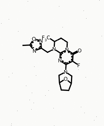 Cc1nc(CN2c3nc(N4CC5CCC(C4)O5)c(F)c(=O)n3CCC2C(F)(F)F)no1